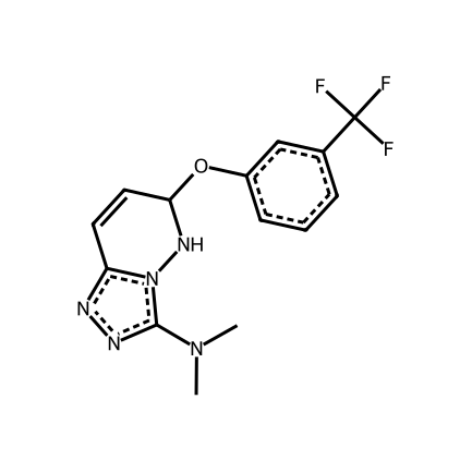 CN(C)c1nnc2n1NC(Oc1cccc(C(F)(F)F)c1)C=C2